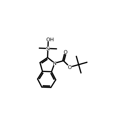 CC(C)(C)OC(=O)n1c([Si](C)(C)O)cc2ccccc21